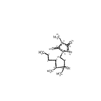 CCCCC(C)C(C)(O)CCn1[nH]c(=O)n(C)c1=O